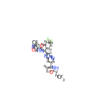 O=C(CCC(F)(F)F)NC(c1cnn2cc([C@@H](NC(=O)c3conc3C(F)(F)F)C3CCC(F)(F)CC3)nc2c1)C1CC1